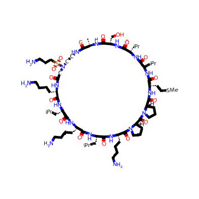 CSCC[C@@H]1NC(=O)[C@@H]2CCCN2C(=O)[C@H]2CCCN2C(=O)[C@H](CCCCN)NC(=O)[C@H](CC(C)C)NC(=O)[C@H](CCCCN)NC(=O)[C@H](CC(C)C)NC(=O)[C@H](CCCCN)NC(=O)CN(S(=O)(=O)CCCN)CCNC(=O)[C@H](C)NC(=O)[C@H](CO)NC(=O)[C@H](C(C)C)NC(=O)C(C(C)C)NC1=O